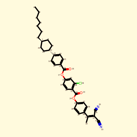 CCCCCCC[C@H]1CC[C@H](c2ccc(C(=O)Oc3ccc(C(=O)Oc4ccc(C(C)=C(C#N)C#N)cc4)c(Cl)c3)cc2)CC1